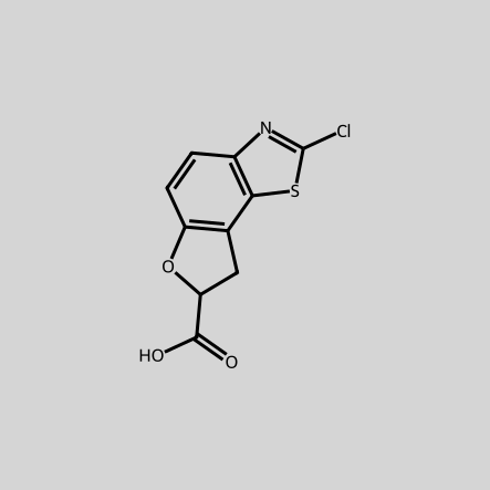 O=C(O)C1Cc2c(ccc3nc(Cl)sc23)O1